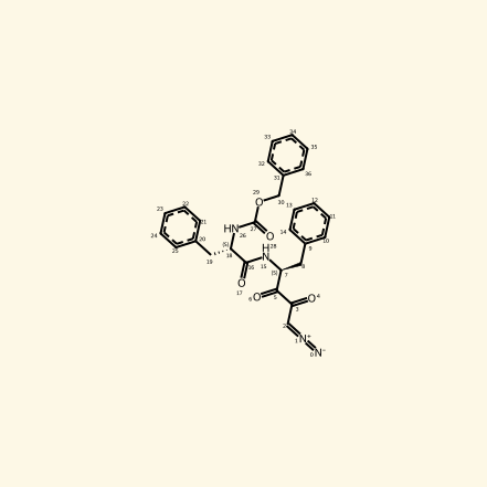 [N-]=[N+]=CC(=O)C(=O)[C@H](Cc1ccccc1)NC(=O)[C@H](Cc1ccccc1)NC(=O)OCc1ccccc1